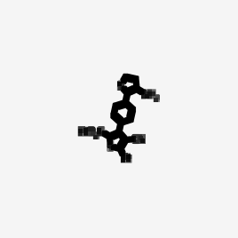 CCOC(=O)c1sc(CC)c(C#N)c1-c1ccc(-c2sccc2N)cc1